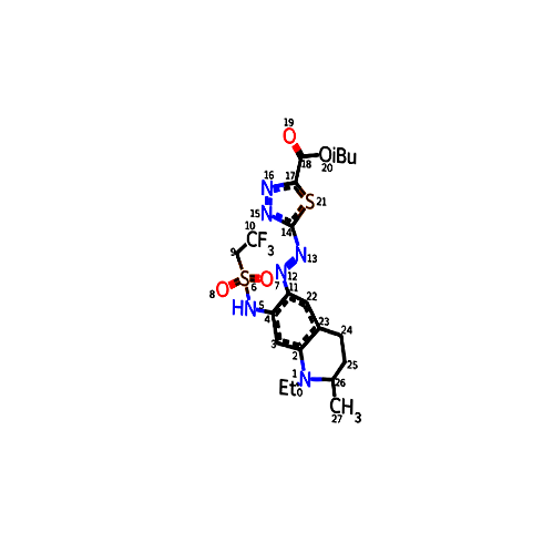 CCN1c2cc(NS(=O)(=O)CC(F)(F)F)c(N=Nc3nnc(C(=O)OCC(C)C)s3)cc2CCC1C